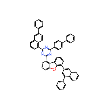 c1ccc(-c2ccc(-c3nc(-c4cccc5cc(-c6ccccc6)ccc45)nc(-c4cccc5oc6c(-c7cc(-c8ccccc8)c8ccccc8c7)cccc6c45)n3)cc2)cc1